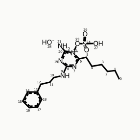 CCCCCCc1nc(NCCCc2ccccc2)nc(N)[n+]1OS(=O)(=O)O.[OH-]